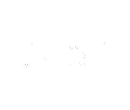 COc1cc(F)c(F)cc1C(=O)NCc1ccc(-c2nn3c(c2C(N)=O)Nc2ccc(C(C)(C)C)cc2CC3)cc1